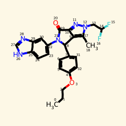 CCCOc1ccc(C2c3c(nn(CC(F)F)c3C)C(=O)N2c2ccc3[nH]cnc3c2)cc1